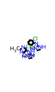 COc1nc(C)nc(Cl)c1NC1=NCCN1.Clc1cccc(Cl)c1N=C1NCCN1